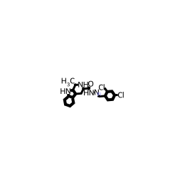 CC1NC(C(=O)N/N=C/c2ccc(Cl)cc2Cl)Cc2c1[nH]c1ccccc21